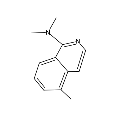 Cc1cccc2c(N(C)C)nccc12